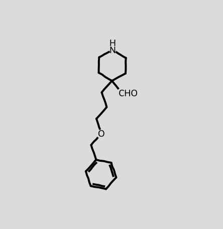 O=CC1(CCCOCc2ccccc2)CCNCC1